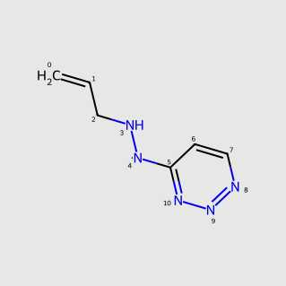 C=CCN[N]c1ccnnn1